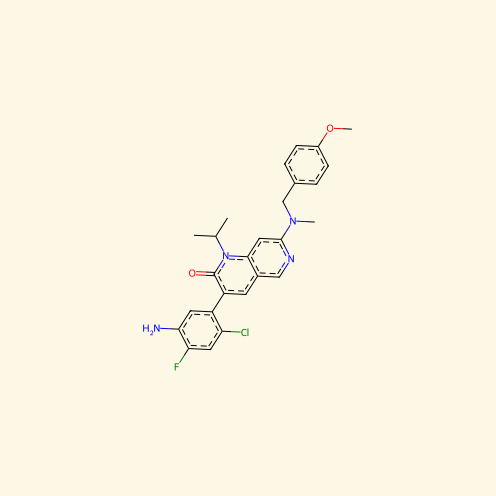 COc1ccc(CN(C)c2cc3c(cn2)cc(-c2cc(N)c(F)cc2Cl)c(=O)n3C(C)C)cc1